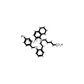 CC(C)c1ccc(COc2ccccc2CCN(CCCCC(=O)O)c2c(C(=O)O)ccc3c2CCCC3)cc1